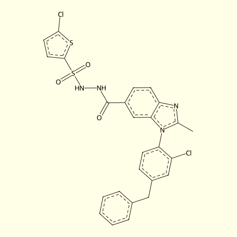 Cc1nc2ccc(C(=O)NNS(=O)(=O)c3ccc(Cl)s3)cc2n1-c1ccc(Cc2ccccc2)cc1Cl